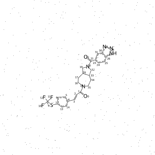 O=C(/C=C/c1ccc(SC(F)(F)F)cc1)N1CCC2CN(C(=O)c3ccc4[nH]nnc4c3)CC2CC1